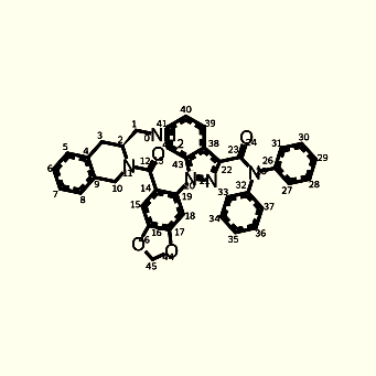 NC[C@@H]1Cc2ccccc2CN1C(=O)c1cc2c(cc1-n1nc(C(=O)N(c3ccccc3)c3ccccc3)c3ccccc31)OCO2